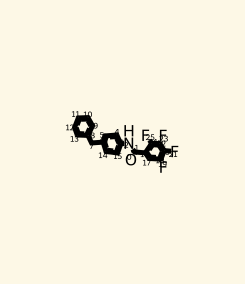 O=C(Nc1ccc(Cc2ccccc2)cc1)c1cc(F)c(F)c(F)c1F